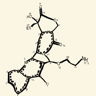 CCc1c2c(nc3ccccc13)-c1cc3c(c(=O)n1C2OCCN)COC(=O)[C@]3(O)CC